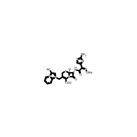 CO/N=C(\C(=O)N[C@@H]1C(=O)N2C(C(=O)[O-])=C(Cn3cc(C#N)[n+]4ccccc34)CS[C@@H]12)c1csc(N)n1